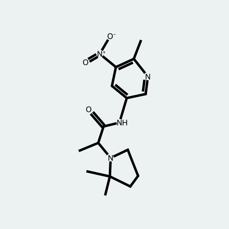 Cc1ncc(NC(=O)C(C)N2CCCC2(C)C)cc1[N+](=O)[O-]